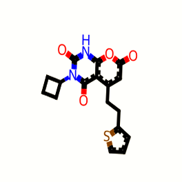 O=c1cc(CCc2cccs2)c2c(=O)n(C3CCC3)c(=O)[nH]c2o1